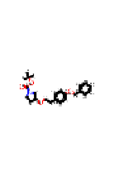 CC(C)(C)OC(=O)N1CC[C@@H](OCCc2ccc(OCc3ccccc3)cc2)C1